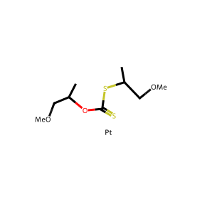 COCC(C)OC(=S)SC(C)COC.[Pt]